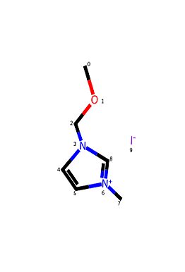 COCn1cc[n+](C)c1.[I-]